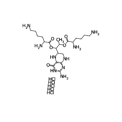 CC(OC(=O)C(N)CCCCN)C(OC(=O)C(N)CCCCN)C1CNc2nc(N)[nH]c(=O)c2N1.Cl.Cl.Cl.Cl.Cl